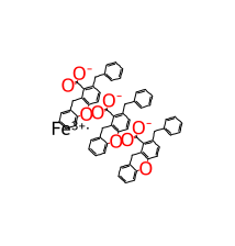 O=C([O-])c1c(Cc2ccccc2)ccc2c1Cc1ccccc1O2.O=C([O-])c1c(Cc2ccccc2)ccc2c1Cc1ccccc1O2.O=C([O-])c1c(Cc2ccccc2)ccc2c1Cc1ccccc1O2.[Fe+3]